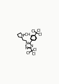 CN1CCCC1CCN1CN=C(C(Cl)(Cl)Cl)N=C1c1ccc(C(Cl)(Cl)Cl)cc1